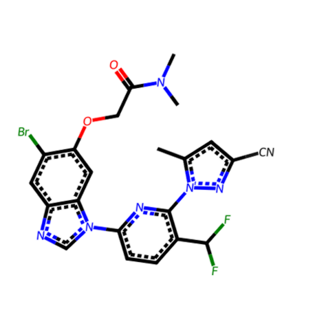 Cc1cc(C#N)nn1-c1nc(-n2cnc3cc(Br)c(OCC(=O)N(C)C)cc32)ccc1C(F)F